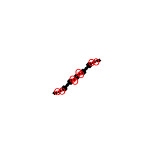 C=CCOCCOc1ccc(C#Cc2ccc(OC(=O)[C@H]3CC[C@H](C(=O)Oc4ccc(C#Cc5ccc(OCCOCC=C)cc5)cc4)CC3)cc2)cc1